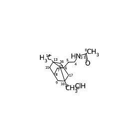 CC(=O)NCCC12CC3CC(C)(CC(C)(C3)C1)C2.Cl